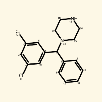 Clc1cc(Cl)cc(C(c2ccccc2)N2CCNCC2)c1